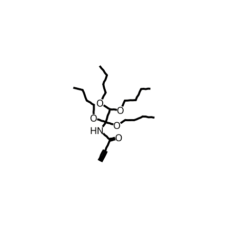 C#CC(=O)NC(OCCCC)(OCCCC)C(OCCCC)OCCCC